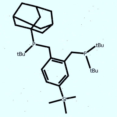 CC(C)(C)P(Cc1cc([Si](C)(C)C)ccc1CP(C(C)(C)C)C12CC3CC(CC(C3)C1)C2)C(C)(C)C